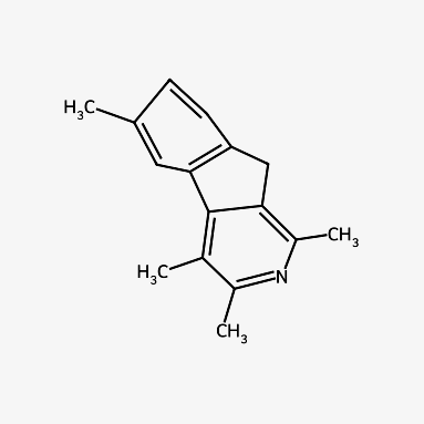 Cc1ccc2c(c1)-c1c(C)c(C)nc(C)c1C2